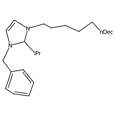 CCCCCCCCCCCCCCCN1C=CN(Cc2ccccc2)C1C(C)C